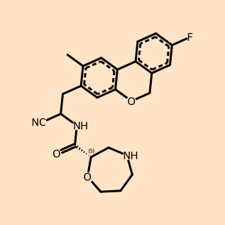 Cc1cc2c(cc1CC(C#N)NC(=O)[C@@H]1CNCCCO1)OCc1cc(F)ccc1-2